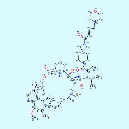 CCn1c(-c2cccnc2[C@H](C)OC)c2c3cc(ccc31)-c1csc(n1)C[C@H](NC(=O)C(C(C)C)N(C)C(=O)N1CCC3(CC1)CN(C(=O)/C=C/CN1CCOCC1)C3)C(=O)N1CCC[C@H](N1)C(=O)OCC(C)(C)C2